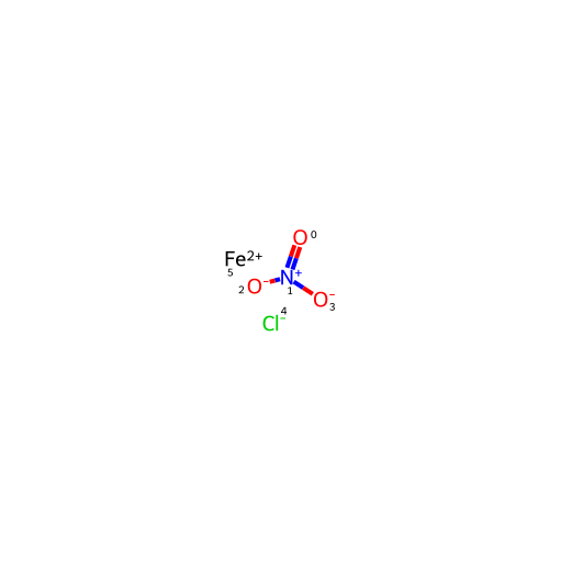 O=[N+]([O-])[O-].[Cl-].[Fe+2]